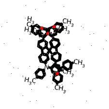 Cc1ccc(C(Cc2ccc3c(c2)C2(c4cc(N(c5ccc(C)cc5)c5ccc(C)cc5)ccc4-3)c3cc(N(c4ccc(C)cc4)c4ccc(C)cc4)ccc3-c3ccc(N(c4ccc(C)cc4)c4ccc(C)cc4)cc32)c2ccc(C)cc2)cc1